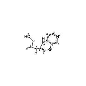 CC(CO)NC1=NSc2cnccc2N1